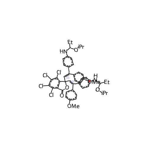 CCC(Nc1ccc(/C(=C/C2(/C=C(/c3ccc(NC(CC)OC(C)C)cc3)c3ccc(OC)cc3)OC(=O)c3c(Cl)c(Cl)c(Cl)c(Cl)c32)c2ccc(OC)cc2)cc1)OC(C)C